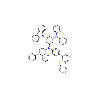 c1ccc(-c2ccc(N(c3ccc(-c4cccc5c4sc4ccccc45)cc3)c3cc(N4c5ccccc5Sc5ccccc54)cc(-n4c5ccccc5c5ccccc54)c3)c3ccccc23)cc1